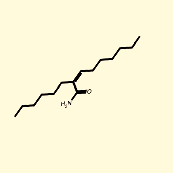 CCCCCCC=C(CCCCCC)C(N)=O